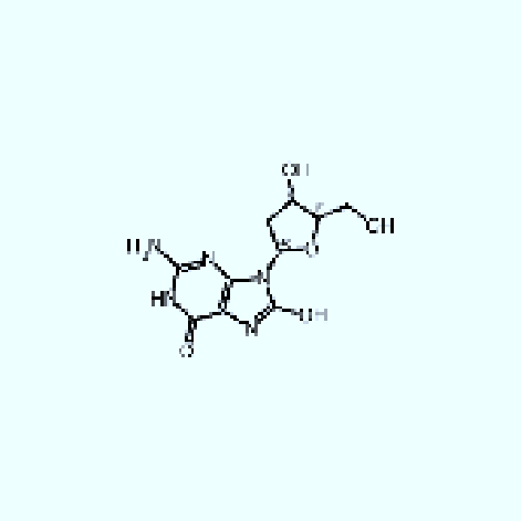 Nc1nc2c(nc(O)n2[C@H]2CC(O)[C@@H](CO)O2)c(=O)[nH]1